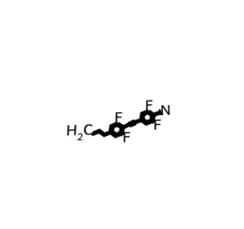 C=CCCc1cc(F)c(C#Cc2cc(F)c(C#N)c(F)c2)c(F)c1